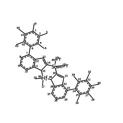 Cc1c(C)c(C)c(-c2cccc3c2C=C2[CH]3[Hf]([CH3])([CH3])[CH]3C(=Cc4c(-c5c(C)c(C)c(C)c(C)c5C)cccc43)[Si]2(C(C)C)C(C)C)c(C)c1C